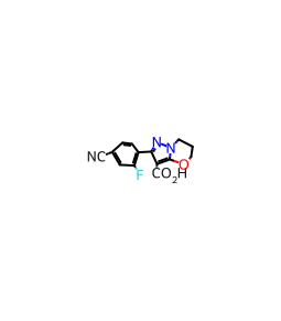 N#Cc1ccc(-c2nn3c(c2C(=O)O)OCCC3)c(F)c1